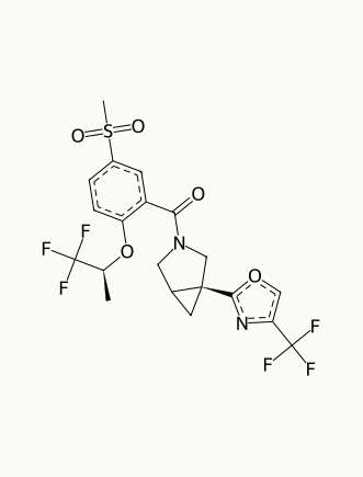 C[C@H](Oc1ccc(S(C)(=O)=O)cc1C(=O)N1CC2C[C@@]2(c2nc(C(F)(F)F)co2)C1)C(F)(F)F